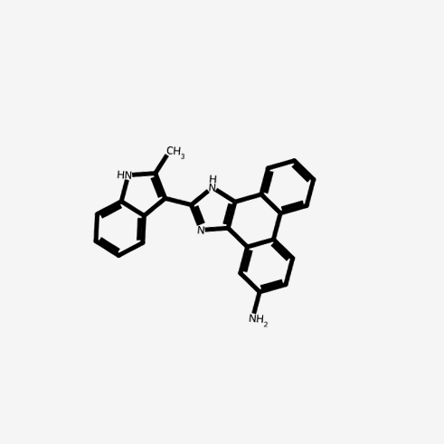 Cc1[nH]c2ccccc2c1-c1nc2c3cc(N)ccc3c3ccccc3c2[nH]1